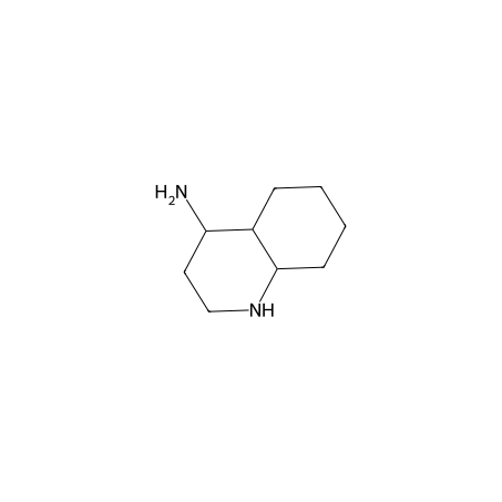 NC1CCNC2CCCCC12